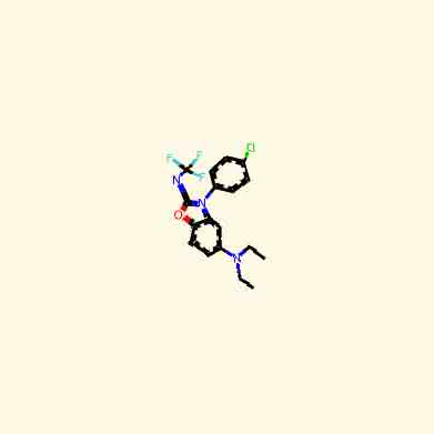 CCN(CC)c1ccc2oc(=NC(F)(F)F)n(-c3ccc(Cl)cc3)c2c1